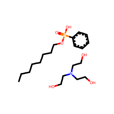 CCCCCCCCOP(=O)(O)c1ccccc1.OCCN(CCO)CCO